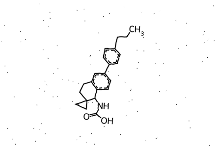 CCCc1ccc(-c2ccc3c(c2)CCC2(CC2)C3NC(=O)O)cc1